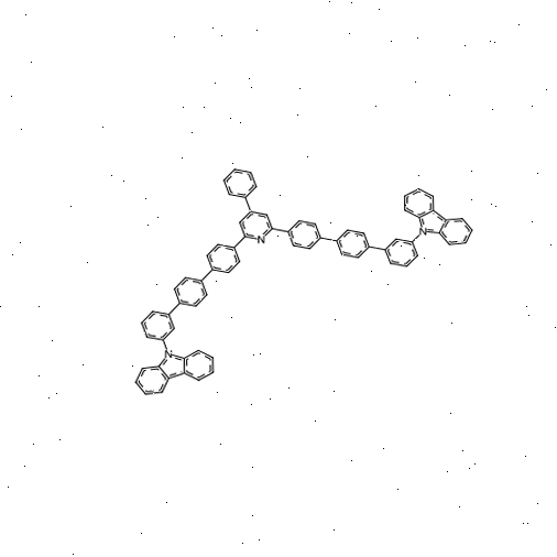 c1ccc(-c2cc(-c3ccc(-c4ccc(-c5cccc(-n6c7ccccc7c7ccccc76)c5)cc4)cc3)nc(-c3ccc(-c4ccc(-c5cccc(-n6c7ccccc7c7ccccc76)c5)cc4)cc3)c2)cc1